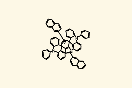 c1ccc(N2c3ccccc3C3(c4ccccc42)c2cc(-c4ccc5ccccc5c4)oc2C2(c4ccccc4N(c4ccccc4)c4ccccc42)c2cc(-c4ccc5ccccc5c4)oc23)cc1